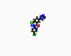 O=C(Nc1ccc(Br)cn1)c1cc(-n2cnnc2)ccc1Cl